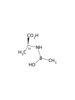 CB(O)N[C@@H](C)C(=O)O